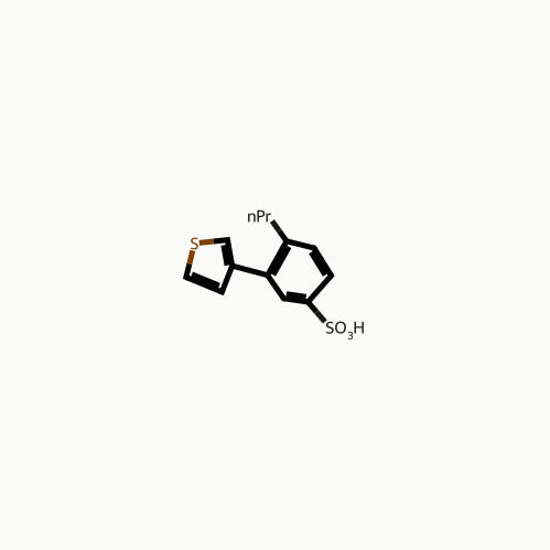 CCCc1ccc(S(=O)(=O)O)cc1-c1ccsc1